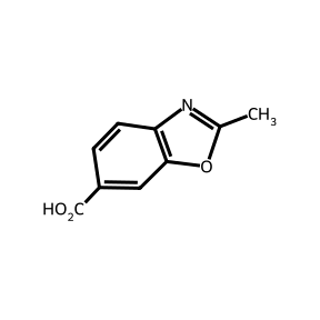 Cc1nc2ccc(C(=O)O)cc2o1